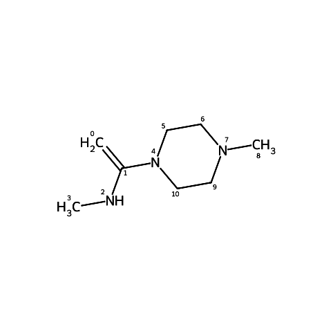 C=C(NC)N1CCN(C)CC1